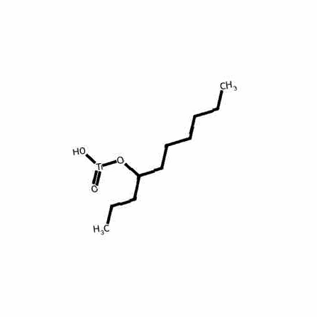 CCCCCCC(CCC)[O][Ti](=[O])[OH]